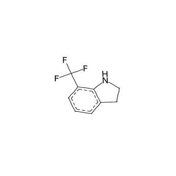 FC(F)(F)c1cccc2c1NCC2